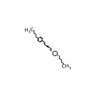 CCCCCC[C@H]1CC[C@H](/C=C/C#C/C=C/c2ccc(CCCCC)cc2)CC1